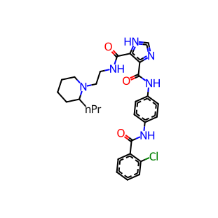 CCCC1CCCCN1CCNC(=O)c1[nH]cnc1C(=O)Nc1ccc(NC(=O)c2ccccc2Cl)cc1